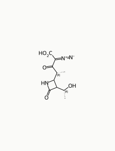 C[C@@H](O)C1C(=O)NC1[C@@H](C)C(=O)C(=[N+]=[N-])C(=O)O